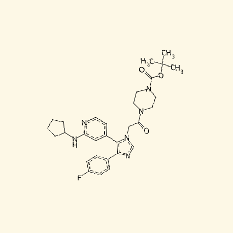 CC(C)(C)OC(=O)N1CCN(C(=O)Cn2cnc(-c3ccc(F)cc3)c2-c2ccnc(NC3CCCC3)c2)CC1